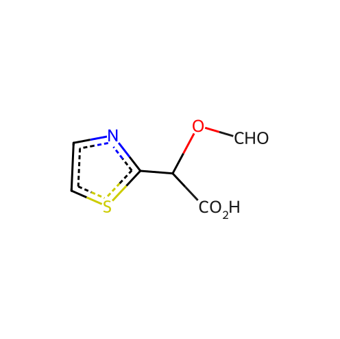 O=COC(C(=O)O)c1nccs1